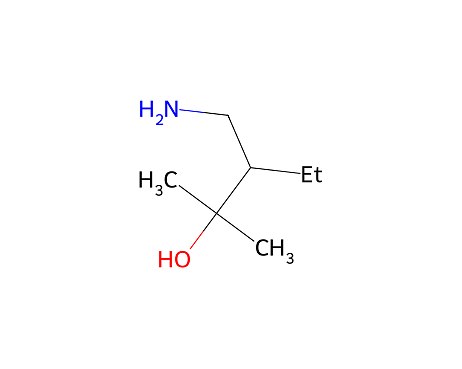 CCC(CN)C(C)(C)O